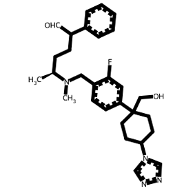 C[C@@H](CCC(C=O)c1ccccc1)N(C)Cc1ccc(C2(CO)CCC(n3cnnc3)CC2)cc1F